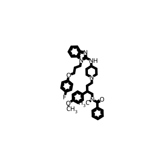 COc1ccc(C(CCN2CCC(Nc3nc4ccccc4n3CCCOc3ccc(F)cc3)CC2)CN(C)C(=O)c2ccccc2)cc1